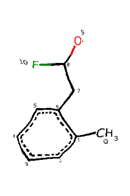 Cc1ccccc1CC([O])F